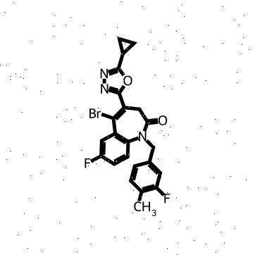 Cc1ccc(CN2C(=O)CC(c3nnc(C4CC4)o3)=C(Br)c3cc(F)ccc32)cc1F